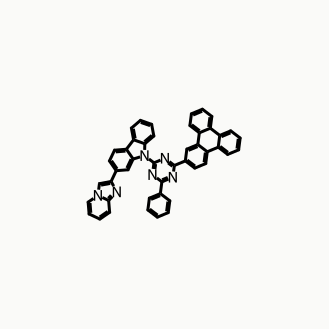 c1ccc(-c2nc(-c3ccc4c5ccccc5c5ccccc5c4c3)nc(-n3c4ccccc4c4ccc(-c5cn6ccccc6n5)cc43)n2)cc1